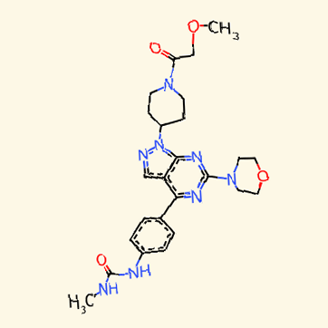 CNC(=O)Nc1ccc(-c2nc(N3CCOCC3)nc3c2cnn3C2CCN(C(=O)COC)CC2)cc1